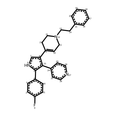 Fc1ccc(-c2[nH]cc(C3=CCN(CCc4ccccc4)CC3)c2-c2ccncc2)cc1